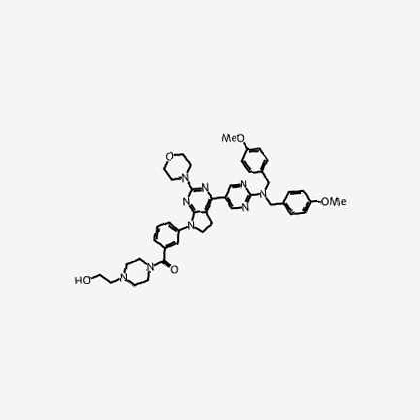 COc1ccc(CN(Cc2ccc(OC)cc2)c2ncc(-c3nc(N4CCOCC4)nc4c3CCN4c3cccc(C(=O)N4CCN(CCO)CC4)c3)cn2)cc1